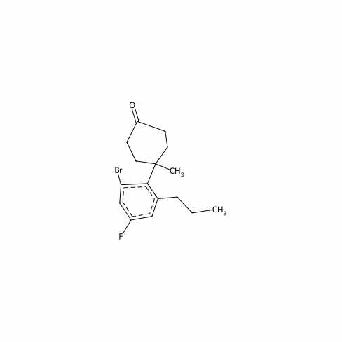 CCCc1cc(F)cc(Br)c1C1(C)CCC(=O)CC1